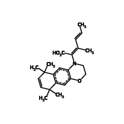 C/C=C/C(C)=C(\C(=O)O)N1CCOc2cc3c(cc21)C(C)(C)C=CC3(C)C